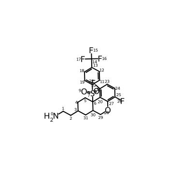 NCCC1CCC2(S(=O)(=O)c3ccc(C(F)(F)F)cc3)c3c(F)ccc(F)c3OCC2C1